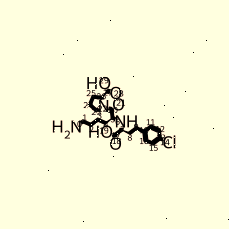 NCCCC[C@H](N[C@@H](CCc1ccc(Cl)cc1)C(=O)O)C(=O)N1CCC[C@H]1C(=O)O